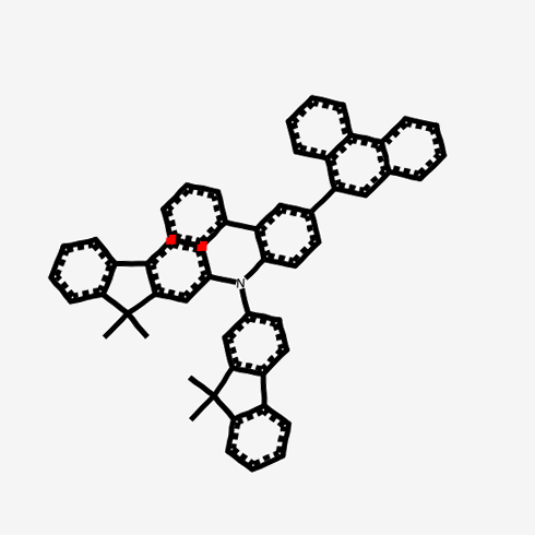 CC1(C)c2ccccc2-c2ccc(N(c3ccc4c(c3)C(C)(C)c3ccccc3-4)c3ccc(-c4cc5ccccc5c5ccccc45)cc3-c3ccccc3)cc21